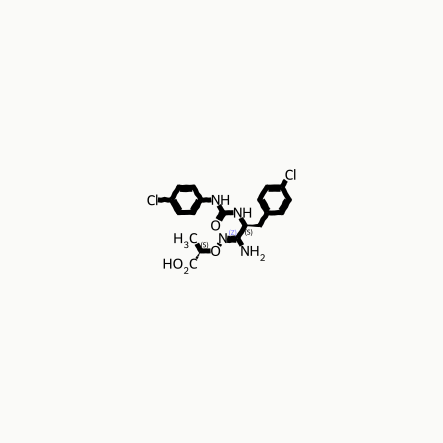 C[C@H](O/N=C(\N)[C@H](Cc1ccc(Cl)cc1)NC(=O)Nc1ccc(Cl)cc1)C(=O)O